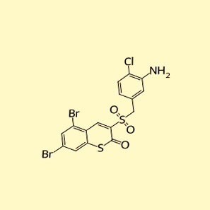 Nc1cc(CS(=O)(=O)c2cc3c(Br)cc(Br)cc3sc2=O)ccc1Cl